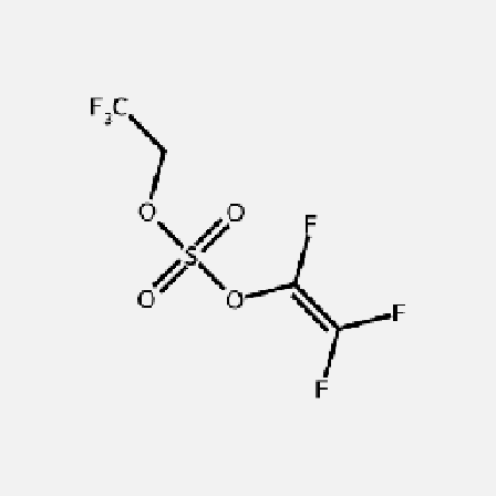 O=S(=O)(OCC(F)(F)F)OC(F)=C(F)F